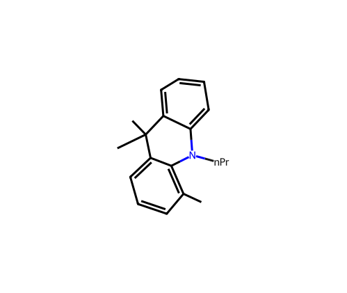 CCCN1c2ccccc2C(C)(C)c2cccc(C)c21